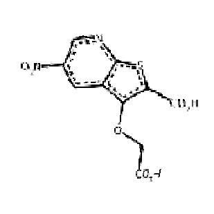 O=C(O)COc1c(C(=O)O)sc2ncc([N+](=O)[O-])cc12